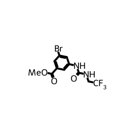 COC(=O)c1cc(Br)cc(NC(=O)NCC(F)(F)F)c1